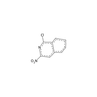 O=[N+]([O-])c1cc2ccccc2c(Cl)n1